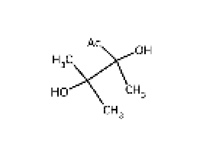 CC(=O)C(C)(O)C(C)(C)O